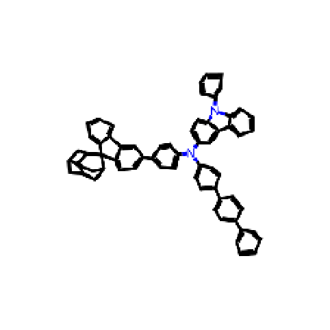 c1ccc(-c2ccc(-c3ccc(N(c4ccc(-c5ccc6c(c5)-c5ccccc5C65C6CC7CC(C6)CC5C7)cc4)c4ccc5c(c4)c4ccccc4n5-c4ccccc4)cc3)cc2)cc1